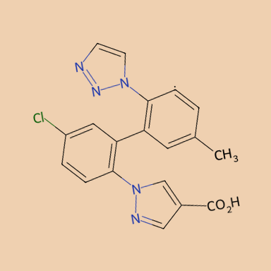 Cc1c[c]c(-n2ccnn2)c(-c2cc(Cl)ccc2-n2cc(C(=O)O)cn2)c1